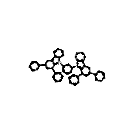 c1ccc(-c2cc(-c3ccccc3)c3c(c2)c2ccccc2n3-c2cccc(-n3c4ccccc4c4cc(-c5ccccc5)cc(-c5ccccc5)c43)c2)cc1